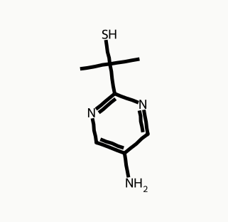 CC(C)(S)c1ncc(N)cn1